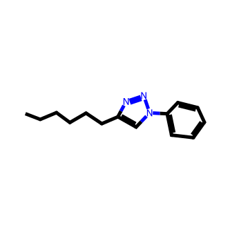 CCCCCCc1cn(-c2ccccc2)nn1